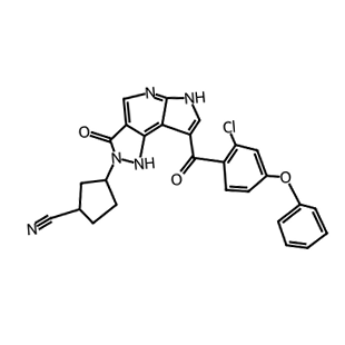 N#CC1CCC(n2[nH]c3c(cnc4[nH]cc(C(=O)c5ccc(Oc6ccccc6)cc5Cl)c43)c2=O)C1